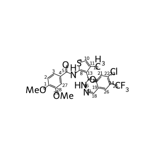 COc1ccc(C(=O)Nc2scc(C)c2C(=O)N/N=C\c2ccc(Cl)c(C(F)(F)F)c2)cc1OC